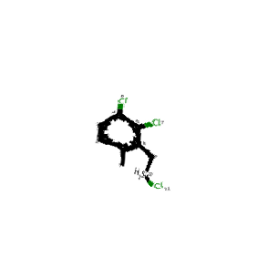 Cc1ccc(Cl)c(Cl)c1C[SiH2]Cl